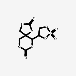 O=C1OCC2(COC(=O)O2)C(C2COS(=O)(=O)O2)O1